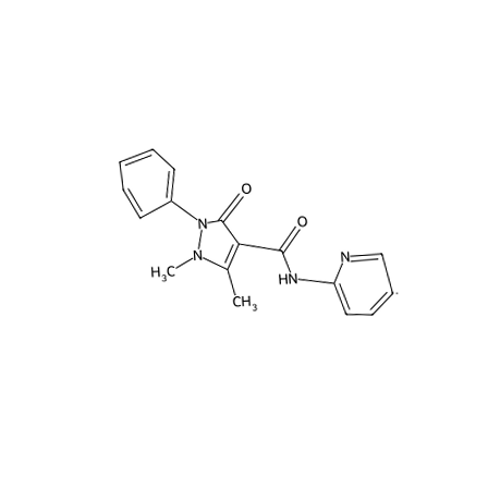 Cc1c(C(=O)Nc2cc[c]cn2)c(=O)n(-c2ccccc2)n1C